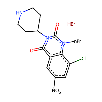 Br.CCCn1c(=O)n(C2CCNCC2)c(=O)c2cc([N+](=O)[O-])cc(Cl)c21